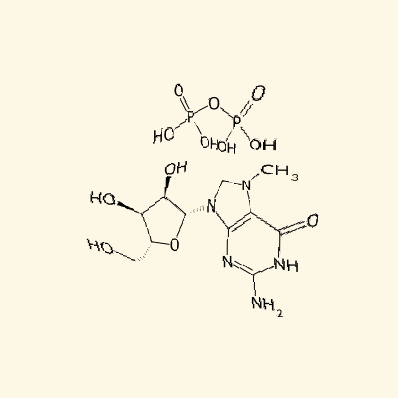 CN1CN([C@@H]2O[C@H](CO)[C@@H](O)[C@H]2O)c2nc(N)[nH]c(=O)c21.O=P(O)(O)OP(=O)(O)O